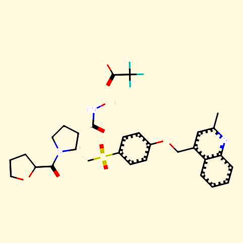 Cc1cc(COc2ccc(S(=O)(=O)C[C@H]3[C@@H](C(=O)NO)CCN3C(=O)C3CCCO3)cc2)c2ccccc2n1.O=C(O)C(F)(F)F